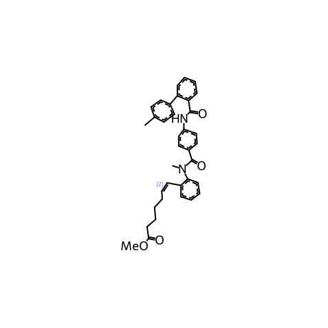 COC(=O)CCCC/C=C\c1ccccc1N(C)C(=O)c1ccc(NC(=O)c2ccccc2-c2ccc(C)cc2)cc1